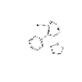 Brc1ccccc1-c1ccccc1.C1CCOC1